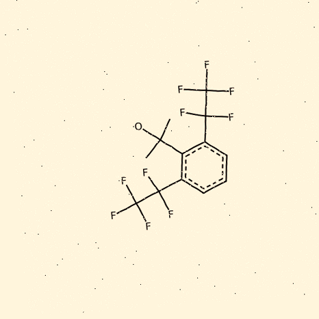 CC(C)([O])c1c(C(F)(F)C(F)(F)F)cccc1C(F)(F)C(F)(F)F